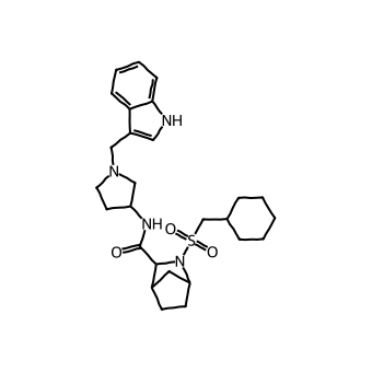 O=C(NC1CCN(Cc2c[nH]c3ccccc23)C1)C1C2CCC(C2)N1S(=O)(=O)CC1CCCCC1